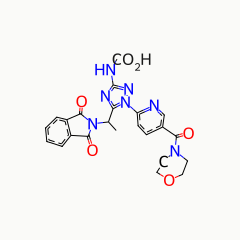 CC(c1nc(NC(=O)O)nn1-c1ccc(C(=O)N2CCOCC2)cn1)N1C(=O)c2ccccc2C1=O